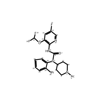 CC(=O)N1CCC(N(C(=O)Nc2ncc(F)cc2OC(F)F)c2ccccc2C(C)C)CC1